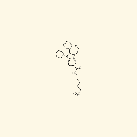 O=C(O)CCCCCNC(=O)c1ccc2c(C3CCCCC3)c3n(c2c1)CCOc1ccccc1-3